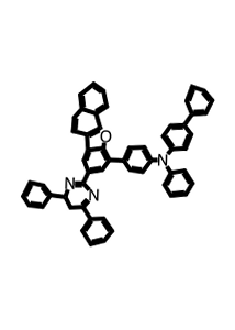 c1ccc(C2=NC(c3cc(-c4ccc(N(c5ccccc5)c5ccc(-c6ccccc6)cc5)cc4)c4oc5c6ccccc6ccc5c4c3)=NC(c3ccccc3)C2)cc1